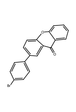 O=c1c2ccccc2oc2ccc(-c3ccc(Br)cc3)cc12